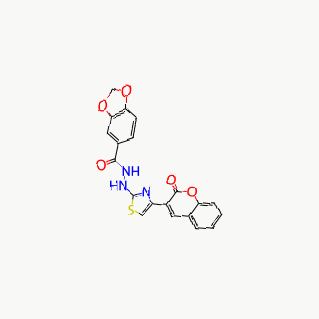 O=C(NNc1nc(-c2cc3ccccc3oc2=O)cs1)c1ccc2c(c1)OCO2